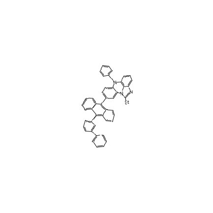 CCc1nc2cccc3c2n1-c1cc(-c2c4ccccc4c(-c4cccc(-c5ccccc5)c4)c4ccccc24)ccc1N3c1ccccc1